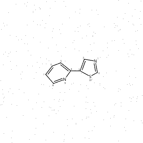 [c]1ncc(-c2ccccn2)s1